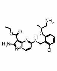 CCOC(=O)c1c(N)nn2ccc(NCc3c(Cl)cccc3O[C@@H](C)CN)nc12